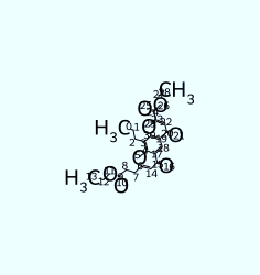 CCCc1c2oc(CCC(=O)OCC)cc(=O)c2cc2c(=O)cc(C(=O)OCC)oc12